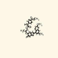 COC(=O)c1ccc(NC(=O)OC[C@H](C)Oc2nc3sc(-c4cc(C)cc5nc(OC)cnc45)nc3cc2F)cn1